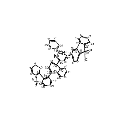 CC1(C)C2=C(CCC=C2)c2c(-c3ccc(-c4cc(-c5ccc6c(c5)-c5ccccc5C6(C)C)nc(-c5ccccc5)n4)c4ccccc34)cccc21